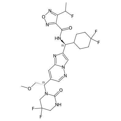 COC[C@H](c1cnn2cc([C@@H](NC(=O)c3nonc3C(C)F)C3CCC(F)(F)CC3)nc2c1)N1CC(F)(F)CNC1=O